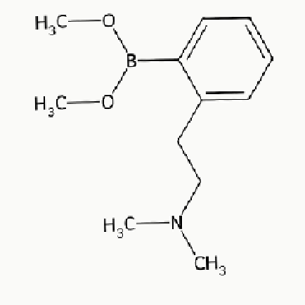 COB(OC)c1ccccc1CCN(C)C